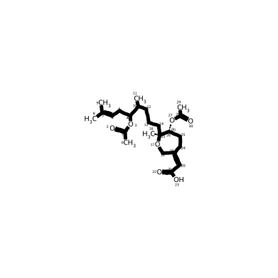 CC(=O)OC(CC=C(C)C)C(C)CCC[C@]1(C)OCC(=CC(=O)O)CC[C@H]1OC(C)=O